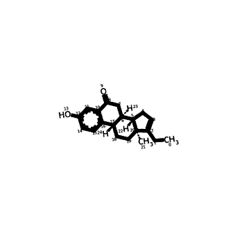 CCC1=CC[C@H]2[C@@H]3CC(=O)c4cc(O)ccc4[C@H]3CC[C@]12C